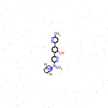 Cc1ccc(-c2ccc(-c3ccc(N(C)[C@@H]4C[C@H]5CC[C@@H](C4)N5)nn3)c(O)c2)nn1